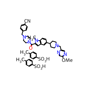 COc1cnc(CN2CCC(c3ccc4c(c3)cc(C(=O)N3CCN(Cc5ccc(C#N)cc5)CC3)n4C)CC2)cn1.Cc1ccc(S(=O)(=O)O)cc1.Cc1ccc(S(=O)(=O)O)cc1